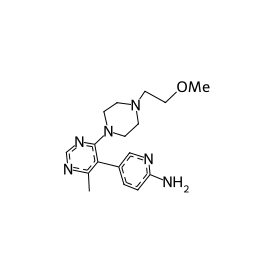 COCCN1CCN(c2ncnc(C)c2-c2ccc(N)nc2)CC1